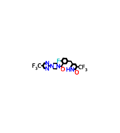 O=C(c1cc(Cc2c[nH]c(=O)c(C(F)(F)F)c2)ccc1F)N1CCN(c2ncc(C(F)(F)F)cn2)CC1